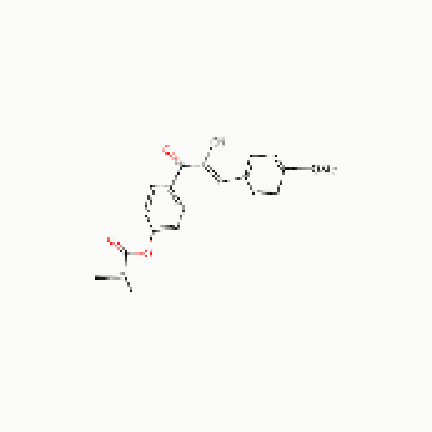 C=C(C)C(=O)Oc1ccc(C(=O)C(C#N)=Cc2ccc(OC)cc2)cc1